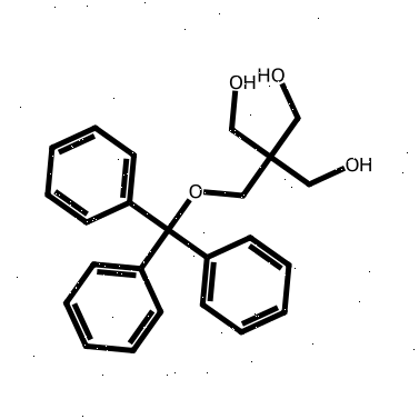 OCC(CO)(CO)COC(c1ccccc1)(c1ccccc1)c1ccccc1